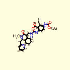 Cc1c(NC(=O)OC(C)(C)C)ccc2nc(NCC(C(=O)N(C)CCc3ccccn3)C3CCCCC3)oc(=O)c12